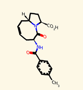 Cc1ccc(C(=O)N[C@H]2C/C=C\C[C@@H]3CC[C@@H](C(=O)O)N3C2=O)cc1